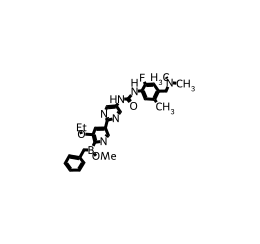 CCOc1cc(-c2ncc(NC(=O)Nc3cc(C)c(CN(C)C)cc3F)cn2)cnc1B(Cc1ccccc1)OC